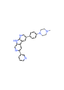 CN1CCN(c2ccc(-c3cnc4[nH]c5cnc(-c6cccnc6)cc5c4c3)cc2)CC1